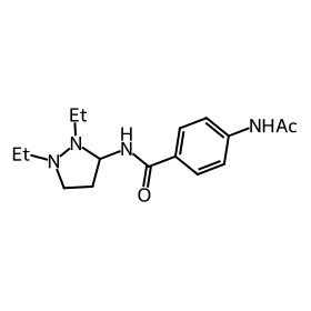 CCN1CCC(NC(=O)c2ccc(NC(C)=O)cc2)N1CC